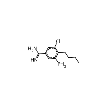 CCCCc1c(P)cc(C(=N)N)cc1Cl